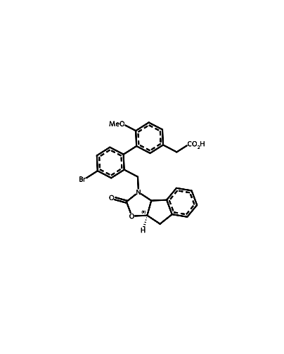 COc1ccc(CC(=O)O)cc1-c1ccc(Br)cc1CN1C(=O)O[C@@H]2Cc3ccccc3C21